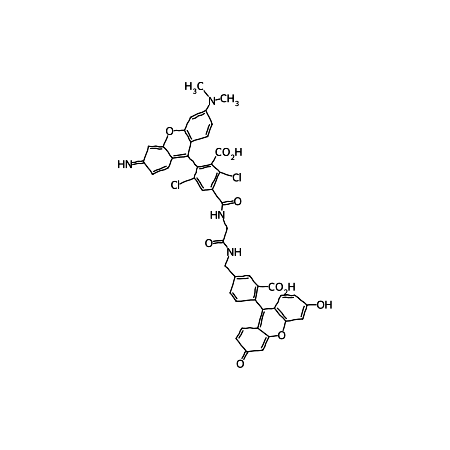 CN(C)c1ccc2c(-c3c(Cl)cc(C(=O)NCC(=O)NCc4ccc(-c5c6ccc(=O)cc-6oc6cc(O)ccc56)c(C(=O)O)c4)c(Cl)c3C(=O)O)c3ccc(=N)cc-3oc2c1